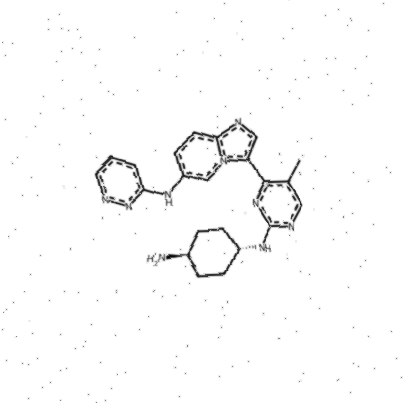 Cc1cnc(N[C@H]2CC[C@H](N)CC2)nc1-c1cnc2ccc(Nc3cccnn3)cn12